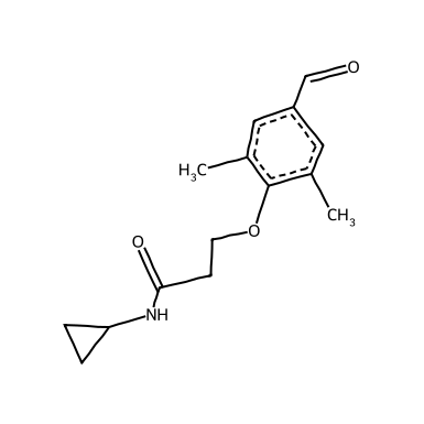 Cc1cc(C=O)cc(C)c1OCCC(=O)NC1CC1